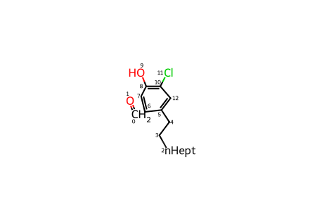 C=O.CCCCCCCCCc1ccc(O)c(Cl)c1